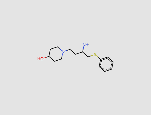 [NH][C@H](CCN1CCC(O)CC1)CSc1ccccc1